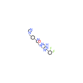 Fc1cccc(-c2nc3c([nH]2)C=NN(Cc2cc(-c4ccc(Cn5ccnc5)cc4)no2)C3)c1F